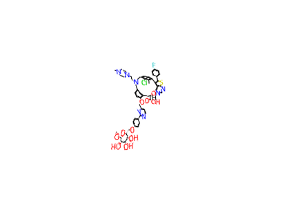 CO[C@H]1O[C@H](COc2ccc(-c3nccc(COc4ccc5cc4C[C@H](C(=O)O)Oc4ncnc6sc(-c7ccc(F)cc7)c(c46)-c4ccc(c(Cl)c4C)CN(CCN4CCN(C)CC4)C5)n3)cc2)[C@@H](O)[C@H](O)[C@H]1O